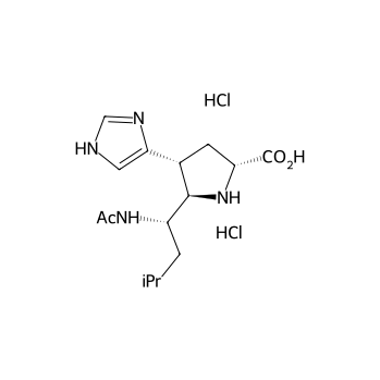 CC(=O)N[C@@H](CC(C)C)[C@@H]1N[C@@H](C(=O)O)C[C@H]1c1c[nH]cn1.Cl.Cl